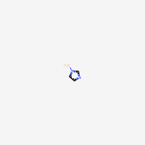 Bn1ccnc1